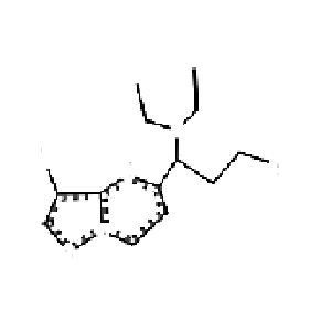 CCN(CC)C(CCN)c1ccn2ncc(Br)c2n1